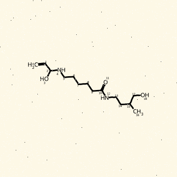 C=CC(O)NCCCCCC(=O)NCCC(C)CO